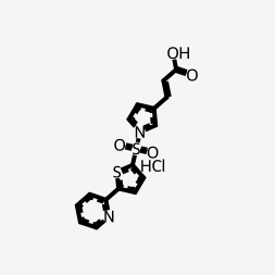 Cl.O=C(O)/C=C/c1ccn(S(=O)(=O)c2ccc(-c3ccccn3)s2)c1